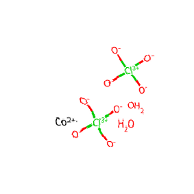 O.O.[Co+2].[O-][Cl+3]([O-])([O-])[O-].[O-][Cl+3]([O-])([O-])[O-]